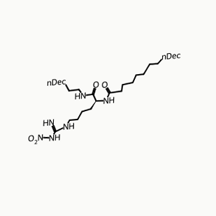 CCCCCCCCCCCCCCCCCC(=O)N[C@@H](CCCCNC(=N)N[N+](=O)[O-])C(=O)NCCCCCCCCCCCC